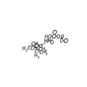 CCC(C)(C)c1ccc(OCCCCNC(=O)c2cc(OCC(=O)Oc3ccccc3)c3ccccc3c2O)c(C(C)(C)CC)c1